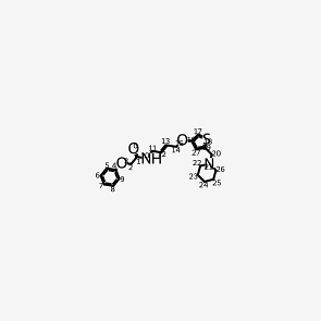 O=C(COc1ccccc1)NCC=CCOc1csc(CN2CCCCC2)c1